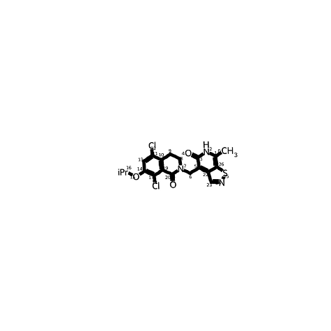 Cc1[nH]c(=O)c(CN2CCc3c(Cl)cc(OC(C)C)c(Cl)c3C2=O)c2cnsc12